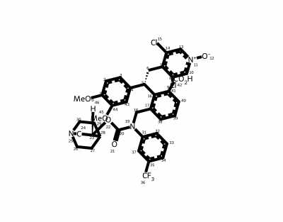 COc1ccc([C@H](Cc2c(Cl)c[n+]([O-])cc2Cl)c2c(CN(C(=O)O[C@H]3CN4CCC3CC4)c3cccc(C(F)(F)F)c3)cccc2C(=O)O)cc1OC